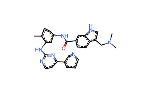 Cc1ccc(NC(=O)c2ccc3c(CN(C)C)c[nH]c3c2)cc1Nc1nccc(-c2cccnc2)n1